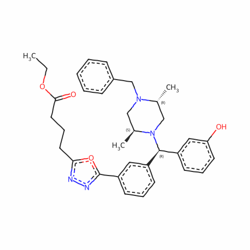 CCOC(=O)CCCc1nnc(-c2cccc([C@H](c3cccc(O)c3)N3C[C@@H](C)N(Cc4ccccc4)C[C@@H]3C)c2)o1